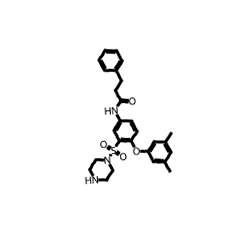 Cc1cc(C)cc(Oc2ccc(NC(=O)CCc3ccccc3)cc2S(=O)(=O)N2CCNCC2)c1